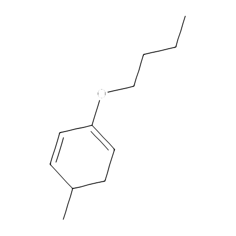 CCCCOC1=CCC(C)C=C1